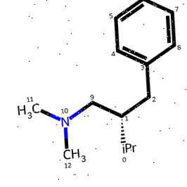 CC(C)[C@@H](Cc1ccccc1)CN(C)C